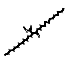 CCCCCCCCCCCCCC(=O)C(CCCCCCCCCCCC)C(=O)OC